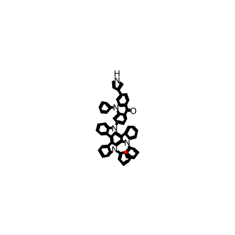 O=c1c2ccc(-c3cc[nH]c3)cc2n(-c2ccccc2)c2cc(-n3c4ccccc4c4c5c6ccccc6n(-c6ccccc6)c5c5c(c6ccccc6n5-c5ccccc5)c43)ccc12